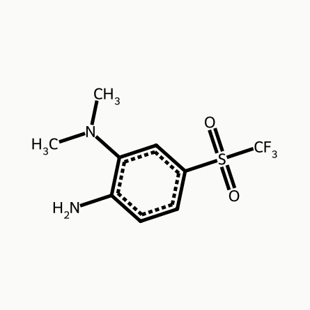 CN(C)c1cc(S(=O)(=O)C(F)(F)F)ccc1N